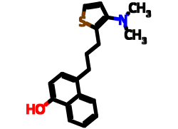 CN(C)c1ccsc1CCCc1ccc(O)c2ccccc12